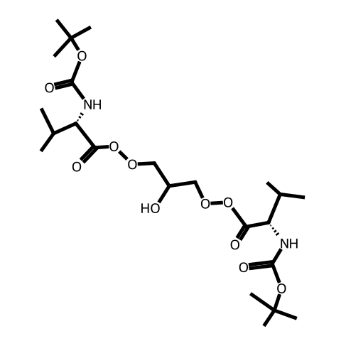 CC(C)[C@H](NC(=O)OC(C)(C)C)C(=O)OOCC(O)COOC(=O)[C@@H](NC(=O)OC(C)(C)C)C(C)C